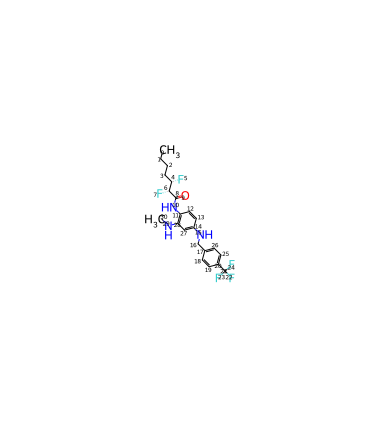 CCCC[C@H](F)[C@@H](F)C(=O)Nc1ccc(NCc2ccc(C(F)(F)F)cc2)cc1NC